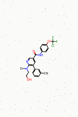 CCN(CCO)c1ncc(C(=O)Nc2ccc(OC(F)(F)Cl)cc2)cc1-c1cccc(C#N)c1